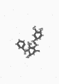 Cc1cc(=O)n(Nc2ccccc2)c(O)c1N=Nc1ccc(Cl)c(Cl)c1